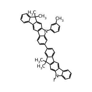 Cc1cccc(-n2c3cc(-c4ccc5c(c4)C(C)(C)c4cc6c(cc4-5)c4ccccc4n6I)ccc3c3cc4c(cc32)C(C)(C)c2ccccc2-4)c1